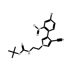 CC(C)(C)OC(=O)NCCn1cc(C#N)c(-c2ccc(Br)cc2[N+](=O)[O-])c1